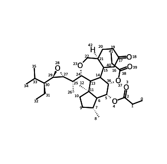 CCC(=O)O[C@@H]1C2[C@H](C)CC[C@@]2(C)C2C(C3CC(=O)CC[C@@H]3CO[C@H]2[C@H](C)[C@H]2O[C@@H]2[C@@H](CC)C(C)C)[C@@H]1OC(=O)CC